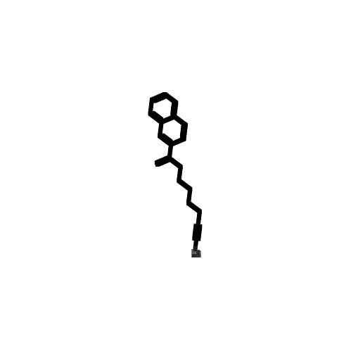 C=C(CCCCCC#CCC)c1ccc2ccccc2c1